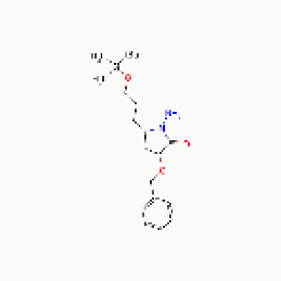 CC(C)(C)[Si](C)(C)OCCCC1CC(OCc2ccccc2)C(=O)N1N